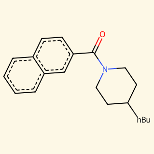 CCCCC1CCN(C(=O)c2ccc3ccccc3c2)CC1